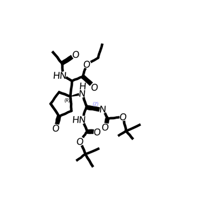 CCOC(=O)C(NC(C)=O)[C@@]1(N/C(=N/C(=O)OC(C)(C)C)NC(=O)OC(C)(C)C)CCC(=O)C1